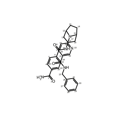 NC(=O)c1ccc(C(=O)NC2CC3CCC(C2)N3c2ccc(C(=O)NCc3ccccc3)cn2)cc1